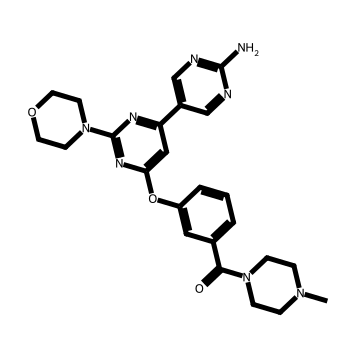 CN1CCN(C(=O)c2cccc(Oc3cc(-c4cnc(N)nc4)nc(N4CCOCC4)n3)c2)CC1